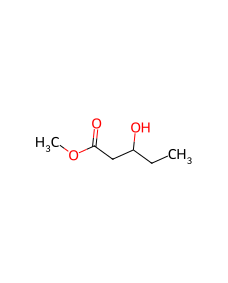 CCC(O)CC(=O)OC